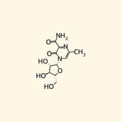 Cc1cn([C@@H]2O[C@H](CO)[C@@H](O)[C@@H]2O)c(=O)c(C(N)=O)n1